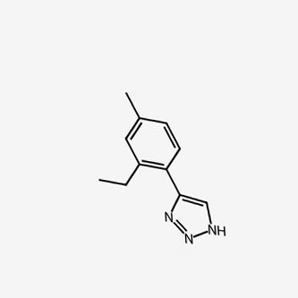 CCc1cc(C)ccc1-c1c[nH]nn1